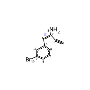 C#C/C(N)=C\c1cccc(Br)c1